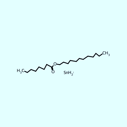 CCCCCCCCCCCCOC(=O)CCCCCCC.[SnH2]